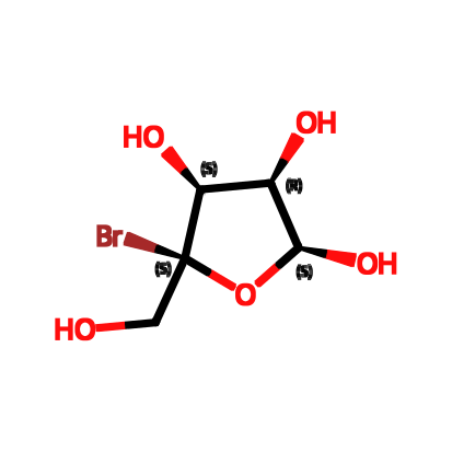 OC[C@@]1(Br)O[C@H](O)[C@H](O)[C@@H]1O